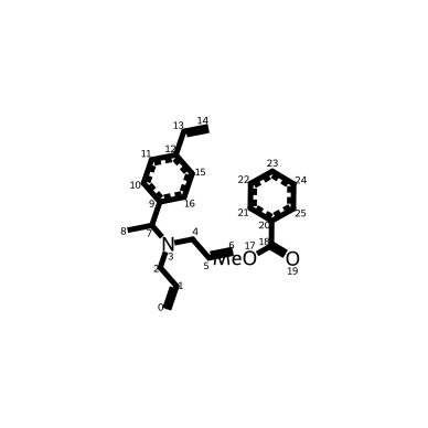 C=CCN(CC=C)C(C)c1ccc(C=C)cc1.COC(=O)c1ccccc1